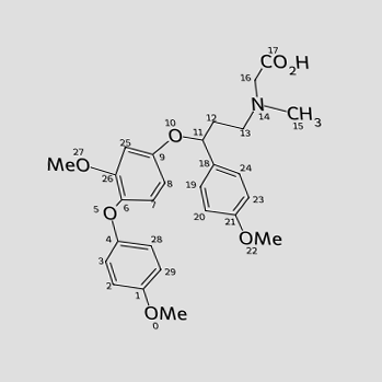 COc1ccc(Oc2ccc(OC(CCN(C)CC(=O)O)c3ccc(OC)cc3)cc2OC)cc1